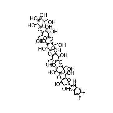 OCC1O[C@H](O[C@@H]2C(CO)O[C@H](O[C@@H]3C(CO)O[C@H](O[C@@H]4C(CO)O[C@H](O[C@@H]5C(CO)O[C@H](O[C@@H]6C(CO)O[C@@H](c7nc8cc(F)c(F)cc8[nH]7)C(O)[C@H]6O)C(O)[C@H]5O)C(O)[C@H]4O)C(O)[C@H]3O)C(O)[C@H]2O)C(O)[C@@H](O)[C@@H]1O